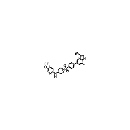 Cc1cc(-c2ccc(S(=O)(=O)N3CCC(Nc4ccc(OC(F)(F)F)cn4)CC3)cc2)cn2c(C(C)C)cnc12